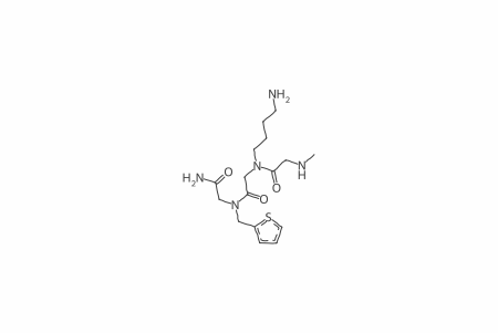 CNCC(=O)N(CCCCN)CC(=O)N(CC(N)=O)Cc1cccs1